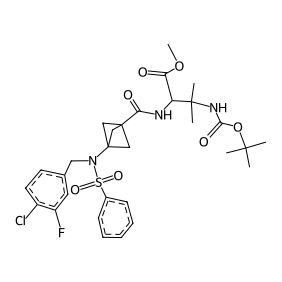 COC(=O)C(NC(=O)C12CC(N(Cc3ccc(Cl)c(F)c3)S(=O)(=O)c3ccccc3)(C1)C2)C(C)(C)NC(=O)OC(C)(C)C